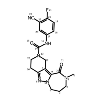 CN1CCCn2nc3c(c2C1=O)CN(C(=O)Nc1ccc(F)c(C#N)c1)CC3